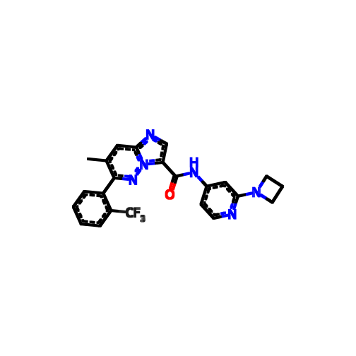 Cc1cc2ncc(C(=O)Nc3ccnc(N4CCC4)c3)n2nc1-c1ccccc1C(F)(F)F